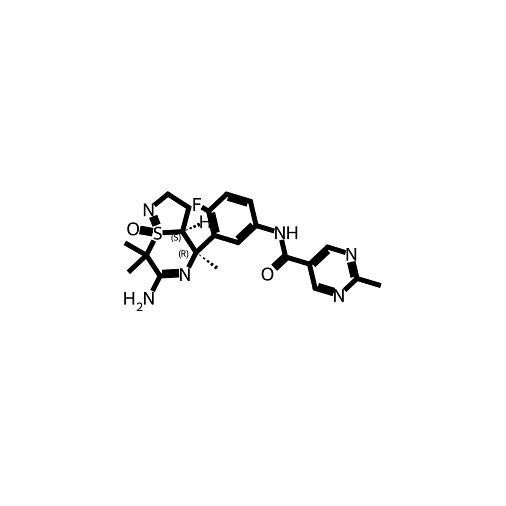 Cc1ncc(C(=O)Nc2ccc(F)c([C@@]3(C)N=C(N)C(C)(C)S4(=O)=NCC[C@@H]34)c2)cn1